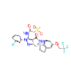 CS(=O)(=O)CC(=O)Nc1c2c(nn1-c1cccc(F)c1)C[C@]1(CCc3cc(OCC(F)(F)F)ccc31)NC2=O